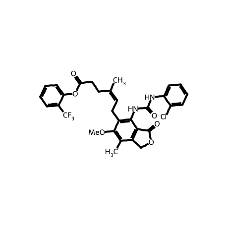 COc1c(C)c2c(c(NC(=O)Nc3ccccc3Cl)c1CC=C(C)CCC(=O)Oc1ccccc1C(F)(F)F)C(=O)OC2